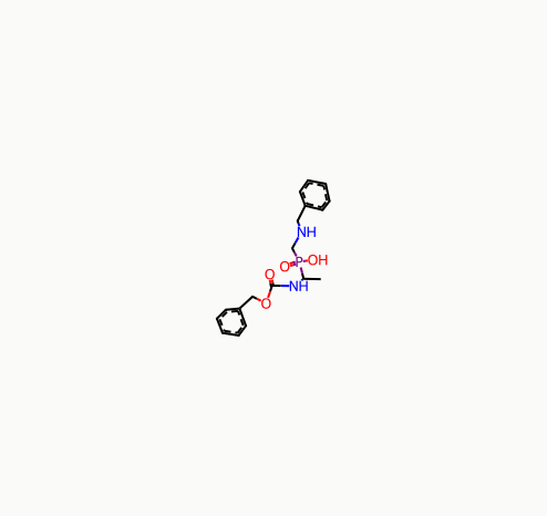 CC(NC(=O)OCc1ccccc1)P(=O)(O)CNCc1ccccc1